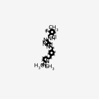 Cc1ccc(Cl)c(CNc2ncnc3nn(Cc4ccc(Cc5cccc(N(C)C)n5)cc4)cc23)c1F